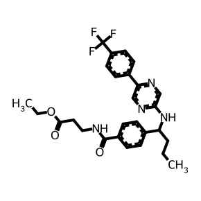 CCCC(Nc1cnc(-c2ccc(C(F)(F)F)cc2)cn1)c1ccc(C(=O)NCCC(=O)OCC)cc1